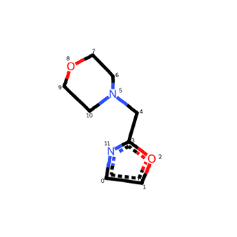 c1coc(CN2CCOCC2)n1